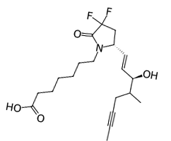 CC#CCC(C)[C@H](O)C=C[C@H]1CC(F)(F)C(=O)N1CCCCCCC(=O)O